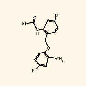 CCC(=O)Nc1cc(Br)ccc1COc1ccc(CC)cc1C